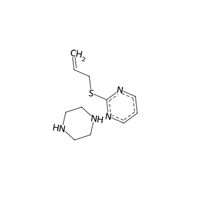 C1CNCCN1.C=CCSc1ncccn1